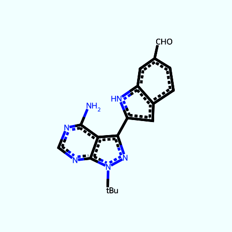 CC(C)(C)n1nc(-c2cc3ccc(C=O)cc3[nH]2)c2c(N)ncnc21